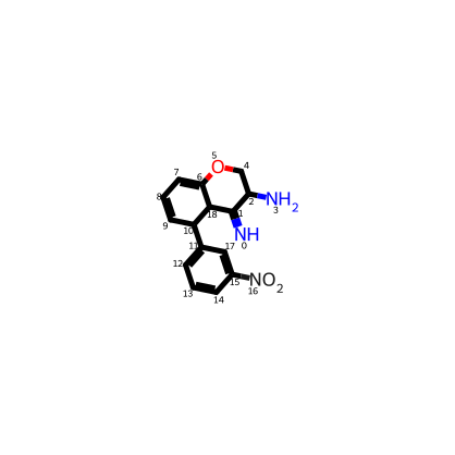 N=C1C(N)COC2=CC=CC(c3cccc([N+](=O)[O-])c3)C12